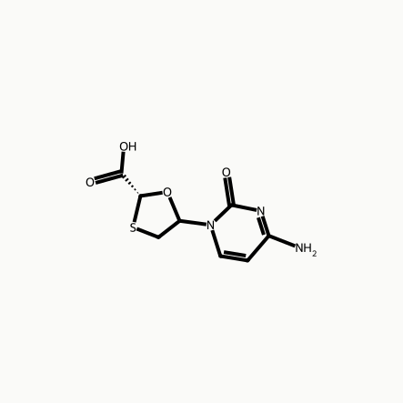 Nc1ccn(C2CS[C@H](C(=O)O)O2)c(=O)n1